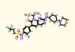 CC(C)n1c(=O)c(-c2ccc(NS(=O)(=O)CCC(F)(F)F)c(F)c2)cc2cnc(N[C@H]3CC[C@H](N4CCOCC4)CC3)nc21